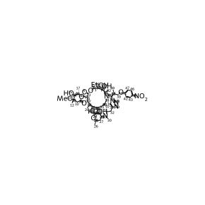 CC[C@H]1OC(=O)[C@H](C)[C@@H](O[C@H]2C[C@@](C)(OC)[C@@H](O)[C@H](C)O2)[C@H](C)[C@@H](O[C@@H]2O[C@H](C)C[C@H](N(C)CCc3cn(C[C@@H](C)COc4ccc([N+](=O)[O-])cc4)nn3)[C@H]2O)[C@](C)(O)C[C@@H](C)CN(C)[C@H](C)[C@@H](O)[C@]1(C)O